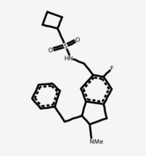 CNC1Cc2cc(F)c(CNS(=O)(=O)C3CCC3)cc2C1Cc1ccccc1